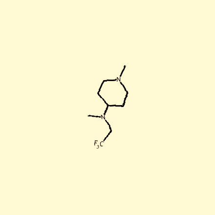 CN1CCC(N(C)CC(F)(F)F)CC1